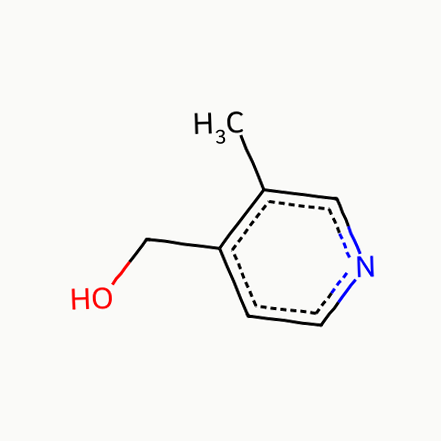 Cc1cnccc1CO